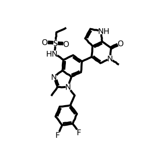 CCS(=O)(=O)Nc1cc(-c2cn(C)c(=O)c3[nH]ccc23)cc2c1nc(C)n2Cc1ccc(F)c(F)c1